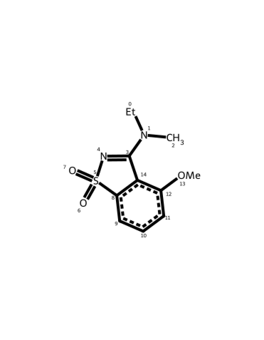 CCN(C)C1=NS(=O)(=O)c2cccc(OC)c21